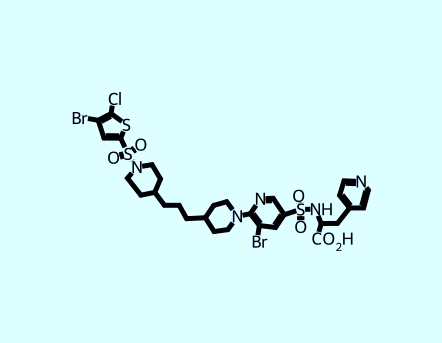 O=C(O)C(Cc1ccncc1)NS(=O)(=O)c1cnc(N2CCC(CCCC3CCN(S(=O)(=O)c4cc(Br)c(Cl)s4)CC3)CC2)c(Br)c1